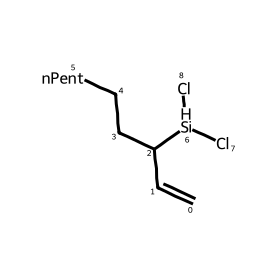 C=CC(CCCCCCC)[SiH](Cl)Cl